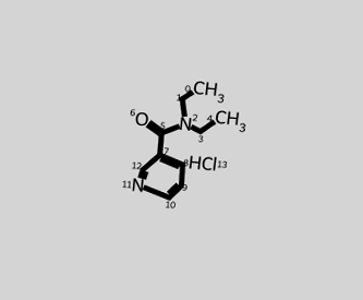 CCN(CC)C(=O)c1cccnc1.Cl